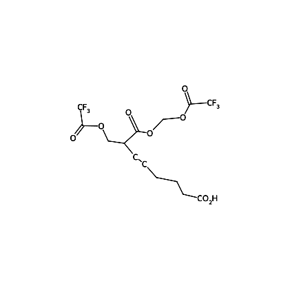 O=C(O)CCCCCC(COC(=O)C(F)(F)F)C(=O)OCOC(=O)C(F)(F)F